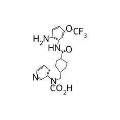 Nc1ccc(OC(F)(F)F)cc1NC(=O)C1CCC(CN(C(=O)O)c2cccnc2)CC1